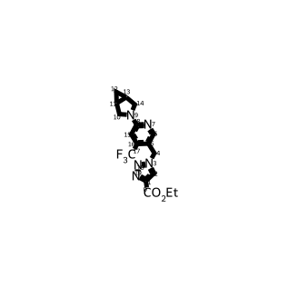 CCOC(=O)c1cn(Cc2cnc(N3CC4CC4C3)cc2C(F)(F)F)nn1